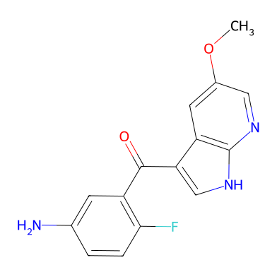 COc1cnc2[nH]cc(C(=O)c3cc(N)ccc3F)c2c1